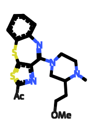 COCCC1CN(C2=Nc3ccccc3Sc3sc(C(C)=O)nc32)CCN1C